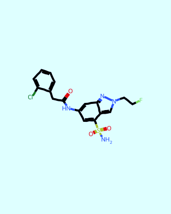 NS(=O)(=O)c1cc(NC(=O)Cc2ccccc2Cl)cc2nn(CCF)cc12